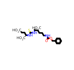 O=C(O)CC[C@H](NC(=S)NC(CCCCNC(=O)OCc1ccccc1)C(=O)O)C(=O)O